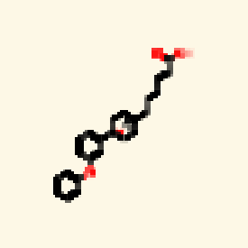 O=C(O)C=CCCCC12CCC(c3cccc(Oc4ccccc4)c3)(CC1)OC2